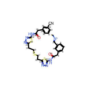 C/N=C/c1cccc(CC(=O)Nc2nnc(CCSCCc3nnc(NC(=O)Cc4cccc(C#N)c4)s3)s2)c1